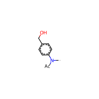 [CH2]N(C(C)=O)c1ccc(CO)cc1